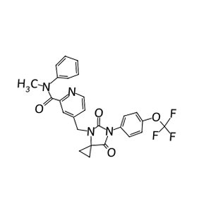 CN(C(=O)c1cc(CN2C(=O)N(c3ccc(OC(F)(F)F)cc3)C(=O)C23CC3)ccn1)c1ccccc1